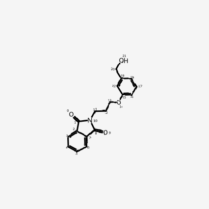 O=C1c2ccccc2C(=O)N1CCCOc1cccc(CO)c1